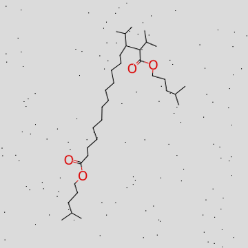 CC(C)CCCOC(=O)CCCCCCCCCCCCC(C(C)C)C(C(=O)OCCCC(C)C)C(C)C